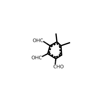 Cc1cc(C=O)c(C=O)c(C=O)c1C